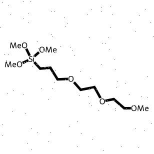 COCCOCCOCCC[Si](OC)(OC)OC